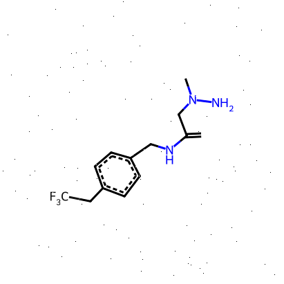 C=C(CN(C)N)NCc1ccc(CC(F)(F)F)cc1